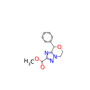 COC(=O)c1nc2n(n1)CCOC2c1ccccc1